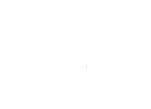 CSCc1ccc(C(=O)CC(=O)C2CC2)c(Cl)c1